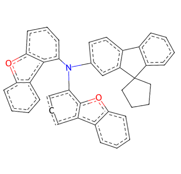 c1ccc2c(c1)-c1ccc(N(c3cccc4c3oc3ccccc34)c3cccc4oc5ccccc5c34)cc1C21CCCC1